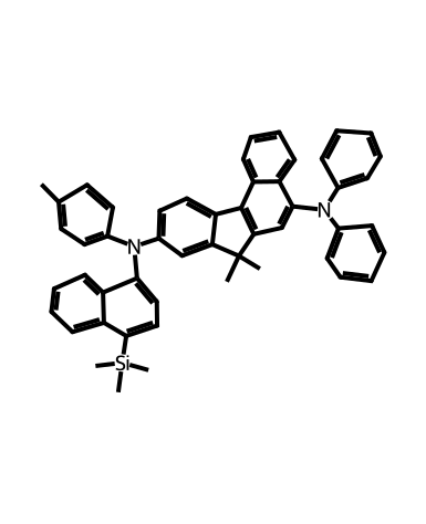 Cc1ccc(N(c2ccc3c(c2)C(C)(C)c2cc(N(c4ccccc4)c4ccccc4)c4ccccc4c2-3)c2ccc([Si](C)(C)C)c3ccccc23)cc1